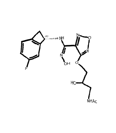 CC(=O)NCC(O)COc1nonc1C(=NO)N[C@H]1Cc2ccc(F)cc21